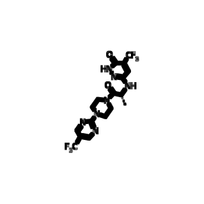 C[C@@H](Nc1cc(C(F)(F)F)c(=O)[nH]n1)C(=O)N1CCN(c2ncc(C(F)(F)F)cn2)CC1